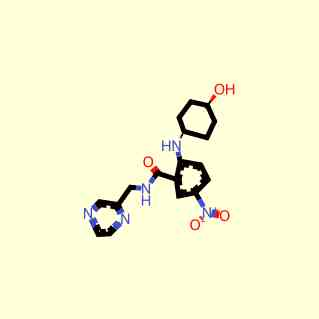 O=C(NCc1cnccn1)c1cc([N+](=O)[O-])ccc1N[C@H]1CC[C@H](O)CC1